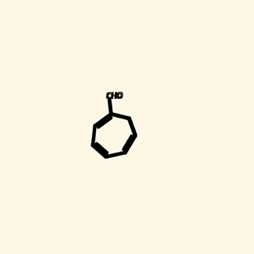 O=CC1=CC=CC=CC1